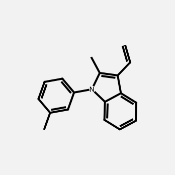 C=Cc1c(C)n(-c2cccc(C)c2)c2ccccc12